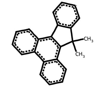 CC1(C)c2c[c]ccc2-c2c1c1ccccc1c1ccccc21